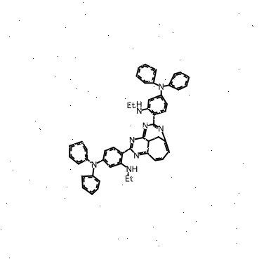 CCNc1cc(N(c2ccccc2)c2ccccc2)ccc1C1=NC2=CC=CC3=NC(c4ccc(N(c5ccccc5)c5ccccc5)cc4NCC)=NC(=N1)C3C2